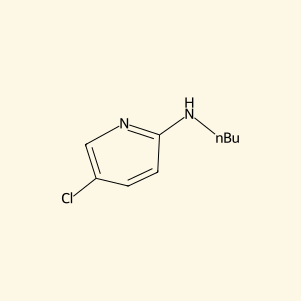 CC[CH]CNc1ccc(Cl)cn1